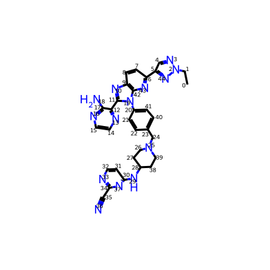 CCn1ncc(-c2ccc3nc(-c4nccnc4N)n(-c4ccc(CN5CCC(Nc6ccnc(C#N)n6)CC5)cc4)c3n2)n1